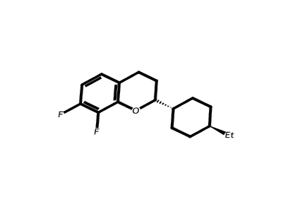 CC[C@H]1CC[C@H](C2CCc3ccc(F)c(F)c3O2)CC1